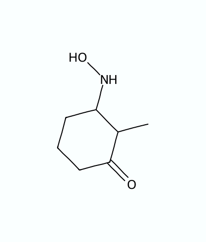 CC1C(=O)CCCC1NO